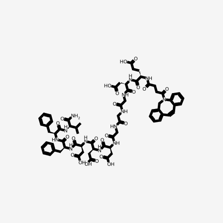 CC(C)[C@H](NC(=O)[C@H](Cc1ccccc1)NC(=O)[C@H](Cc1ccccc1)NC(=O)[C@H](CC(=O)O)NC(=O)[C@H](CC(=O)O)NC(=O)[C@H](CC(=O)O)NC(=O)CNC(=O)CNC(=O)CNC(=O)[C@H](CC(=O)O)NC(=O)[C@H](CCC(=O)O)NC(=O)CCC(=O)N1Cc2ccccc2C#Cc2ccccc21)C(N)=O